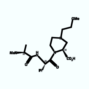 CN[C@@H](C)C(=O)N[C@H](C(=O)N1CCN(CCOC)C[C@H]1C(=O)O)C(C)C